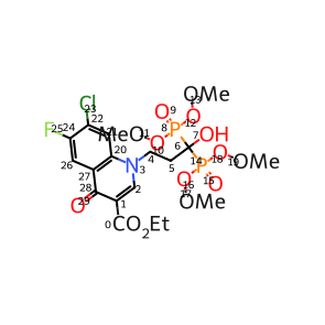 CCOC(=O)c1cn(CCC(O)(P(=O)(OOC)OOC)P(=O)(OOC)OOC)c2cc(Cl)c(F)cc2c1=O